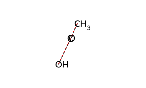 CCCCCCCCC=CCCCCCCCCCCCC(=O)OCCCCCCCCCCCCCCCCCCCCCCCCCCCCCCCCCCCCCCO